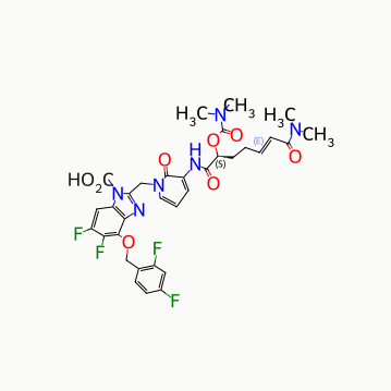 CN(C)C(=O)/C=C/CC[C@H](OC(=O)N(C)C)C(=O)Nc1cccn(Cc2nc3c(OCc4ccc(F)cc4F)c(F)c(F)cc3n2C(=O)O)c1=O